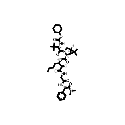 CCCCC(NC(=O)[C@@H]1C2[C@H](CN1C(=O)[C@@H](NC(=O)OC1CCCCC1)C(C)(C)C)C2(C)C)C(=O)C(=O)NCC(=O)N[C@H](C(=O)N(C)C)c1ccccc1